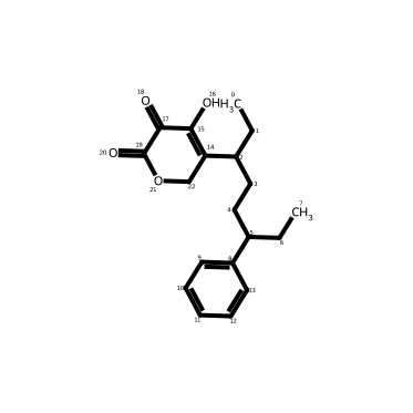 CCC(CCC(CC)c1ccccc1)C1=C(O)C(=O)C(=O)OC1